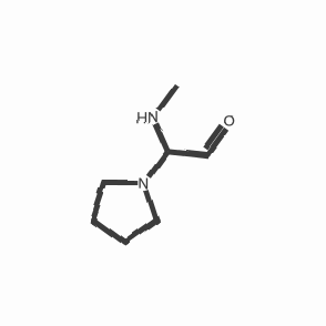 CNC(C=O)N1CCCC1